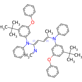 C=N/C(=C\C=C(/C)N(c1ccccc1)c1cc(Oc2ccccc2)cc(C(C)(C)C)c1)N(c1ccccc1)c1cc(Oc2ccccc2)cc(C(C)(C)C)c1